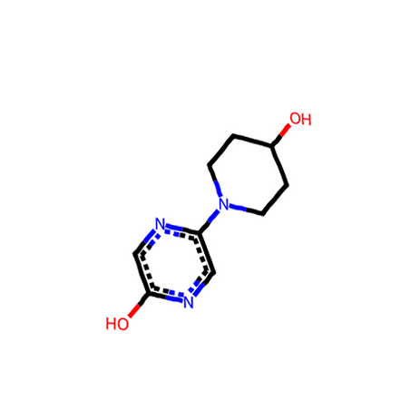 Oc1cnc(N2CCC(O)CC2)cn1